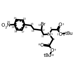 CC(C)(C)OC(=O)CN(CC(=O)OC(C)(C)C)CC(Br)CCc1ccc([N+](=O)[O-])cc1